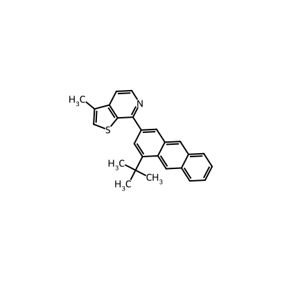 Cc1csc2c(-c3cc(C(C)(C)C)c4cc5ccccc5cc4c3)nccc12